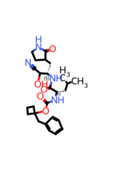 CC(C)C[C@H](NC(=O)OC1(Cc2ccccc2)CCC1)C(=O)N[C@@H](CC1CCNC1=O)C(O)C#N